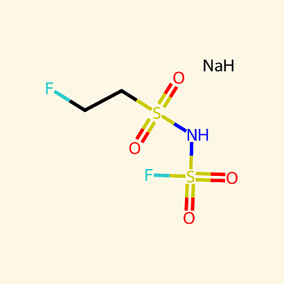 O=S(=O)(F)NS(=O)(=O)CCF.[NaH]